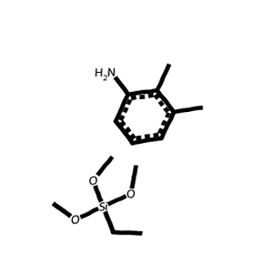 CC[Si](OC)(OC)OC.Cc1cccc(N)c1C